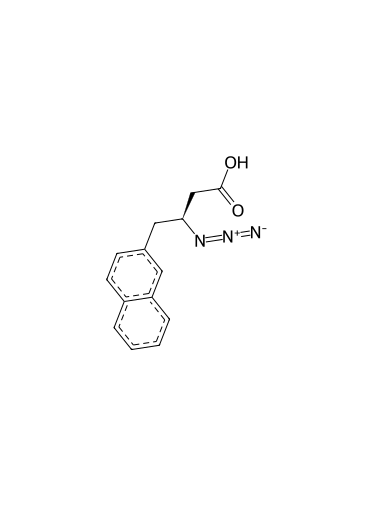 [N-]=[N+]=N[C@H](CC(=O)O)Cc1ccc2ccccc2c1